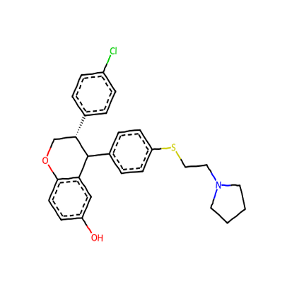 Oc1ccc2c(c1)C(c1ccc(SCCN3CCCC3)cc1)[C@@H](c1ccc(Cl)cc1)CO2